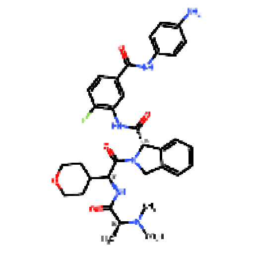 C[C@@H](C(=O)N[C@H](C(=O)N1Cc2ccccc2[C@H]1C(=O)Nc1cc(C(=O)Nc2ccc(N)cc2)ccc1F)C1CCOCC1)N(C)C(=O)O